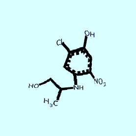 CC(CO)Nc1cc(Cl)c(O)cc1[N+](=O)[O-]